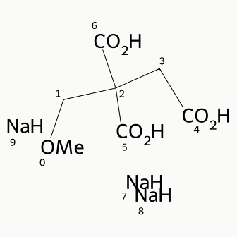 COCC(CC(=O)O)(C(=O)O)C(=O)O.[NaH].[NaH].[NaH]